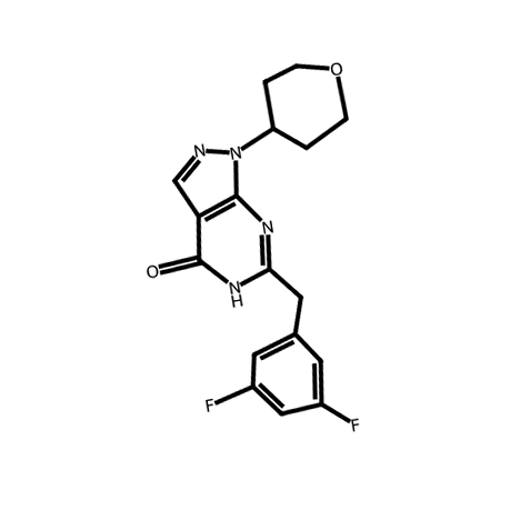 O=c1[nH]c(Cc2cc(F)cc(F)c2)nc2c1cnn2C1CCOCC1